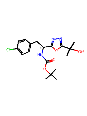 CC(C)(C)OC(=O)N[C@@H](Cc1ccc(Cl)cc1)c1nnc(C(C)(C)O)o1